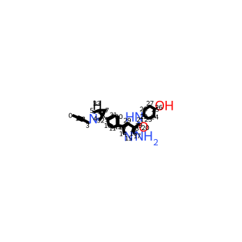 CC#CCN1C[C@H]2C[C@@]2(c2ccc(-c3cnc(N)c(C(=O)N[C@H]4CC[C@H](O)CC4)c3)cc2)C1